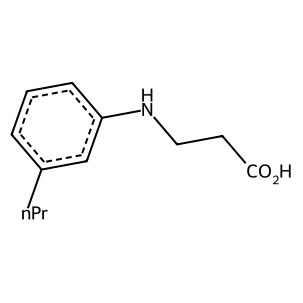 CCCc1cccc(NCCC(=O)O)c1